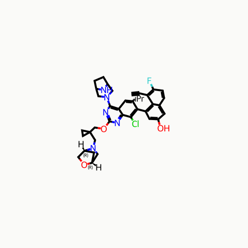 C#Cc1c(F)ccc2cc(O)cc(-c3c(C(C)C)cc4c(N5CC6CCC(C5)N6)nc(OCC5(CN6C[C@H]7C[C@@H]6CO7)CC5)nc4c3Cl)c12